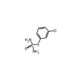 NP(N)(=S)Sc1cccc(Cl)c1